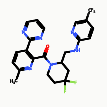 Cc1ccc(-c2ncccn2)c(C(=O)N2CCC(F)(F)CC2CNc2ccc(C(F)(F)F)cn2)n1